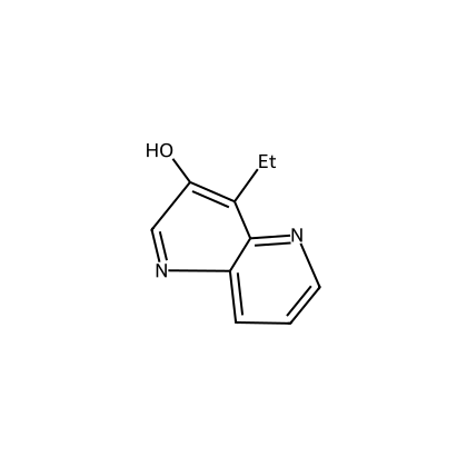 CCc1c(O)cnc2cccnc12